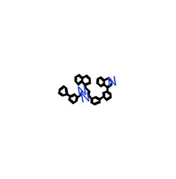 c1ccc(-c2cccc(-c3nc(-c4cccc(-c5cccc(-c6cncc7ccccc67)c5)c4)cc(-c4cccc5ccccc45)n3)c2)cc1